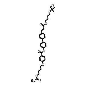 CCC(C)C(=O)OCCCCOc1ccc(C(=O)Oc2ccc(-c3ccc(/C=C/C(=O)OCCCCOC4(C)COC4)cc3)cc2)cc1